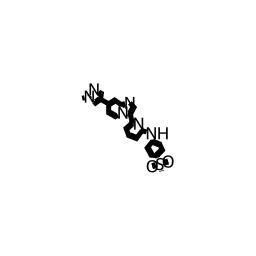 Cn1cc(-c2ccn3c(-c4cccc(Nc5ccc(S(C)(=O)=O)cc5)n4)cnc3c2)cn1